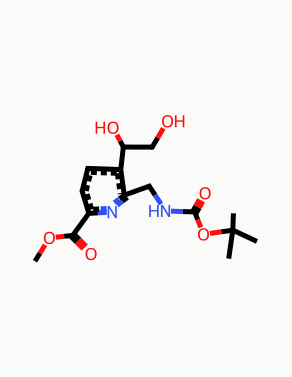 COC(=O)c1ccc(C(O)CO)c(CNC(=O)OC(C)(C)C)n1